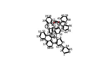 c1ccc(-c2ccc(N(c3ccc4c(c3)[Si]3(c5ccccc5Oc5ccccc53)c3ccccc3[Si]4(c3ccccc3)c3ccccc3)c3cc4ccccc4c4ccccc34)cc2)cc1